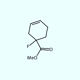 COC(=O)C1(F)CC=CCC1